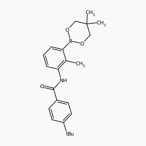 Cc1c(NC(=O)c2ccc(C(C)(C)C)cc2)cccc1B1OCC(C)(C)CO1